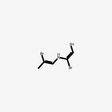 CC(Br)=CN/C(Br)=C\S